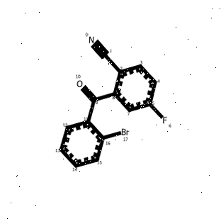 N#Cc1ccc(F)cc1C(=O)c1ccccc1Br